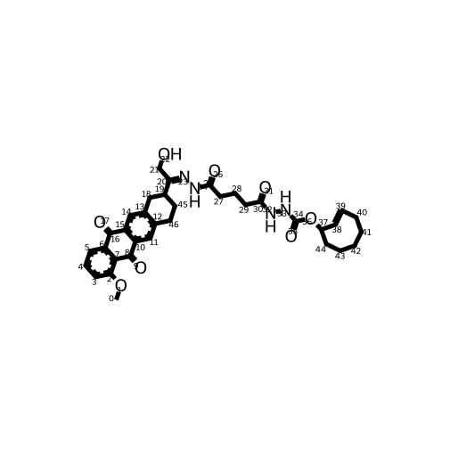 COc1cccc2c1C(=O)c1cc3c(cc1C2=O)CC(/C(CO)=N\NC(=O)CCCC(=O)NNC(=O)OC1/C=C/CCCCC1)CC3